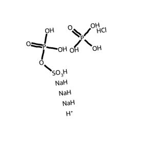 Cl.O=P(O)(O)O.O=P(O)(O)OS(=O)(=O)O.[H+].[NaH].[NaH].[NaH]